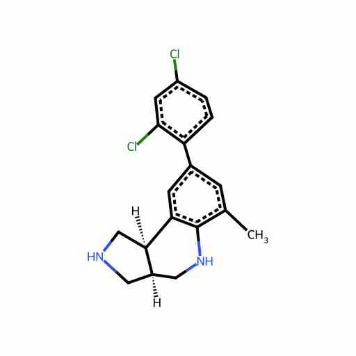 Cc1cc(-c2ccc(Cl)cc2Cl)cc2c1NC[C@H]1CNC[C@@H]21